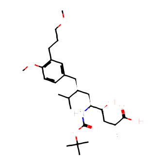 COCCCc1cc(C[C@@H](C[C@H](NC(=O)OC(C)(C)C)[C@@H](O)C[C@@H](C)C(=O)O)C(C)C)ccc1OC